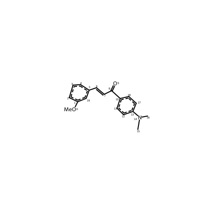 COc1cccc(C=CC(=O)c2ccc(N(C)C)cc2)c1